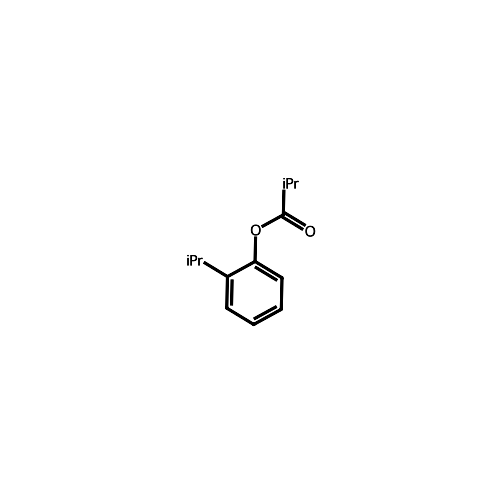 CC(C)C(=O)Oc1ccccc1C(C)C